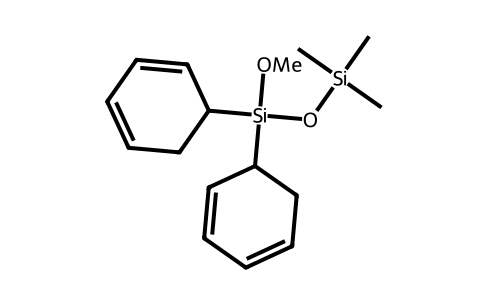 CO[Si](O[Si](C)(C)C)(C1C=CC=CC1)C1C=CC=CC1